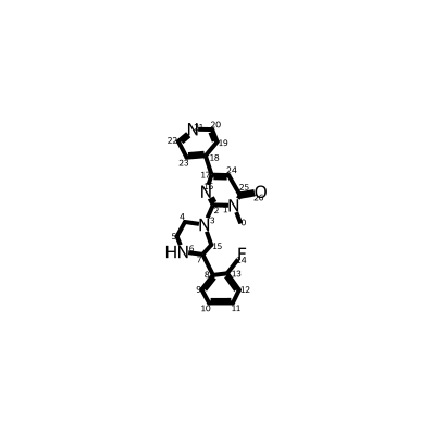 Cn1c(N2CCNC(c3ccccc3F)C2)nc(-c2ccncc2)cc1=O